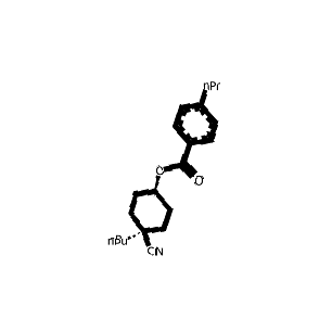 CCCC[C@]1(C#N)CC[C@@H](OC(=O)c2ccc(CCC)cc2)CC1